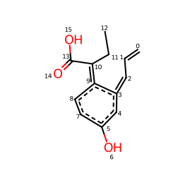 C=C/C=c1/cc(O)cc/c1=C(/CC)C(=O)O